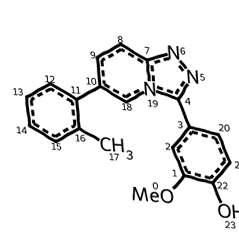 COc1cc(-c2nnc3ccc(-c4ccccc4C)cn23)ccc1O